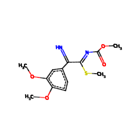 COC(=O)N=C(SC)C(=N)c1ccc(OC)c(OC)c1